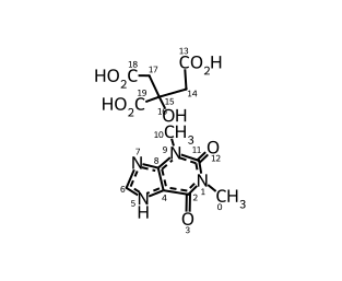 Cn1c(=O)c2[nH]cnc2n(C)c1=O.O=C(O)CC(O)(CC(=O)O)C(=O)O